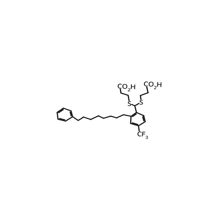 O=C(O)CCSC(SCCC(=O)O)c1ccc(C(F)(F)F)cc1CCCCCCCCc1ccccc1